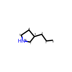 CCC[C]1CCNC1